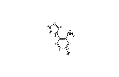 Nc1cc(F)ccc1-n1cccc1